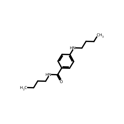 CCCCNC(=O)c1ccc(NCCCC)cc1